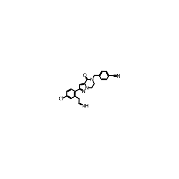 N#Cc1ccc(CN2CCn3nc(-c4ccc(Cl)cc4CC=N)cc3C2=O)cc1